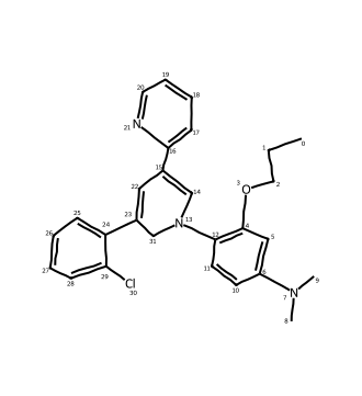 CCCOc1cc(N(C)C)ccc1N1C=C(c2ccccn2)C=C(c2ccccc2Cl)C1